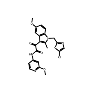 COc1ccc2c(c1)c(C(=O)C(=O)Nc1ccnc(OC)c1)c(C)n2Cc1ncc(Cl)s1